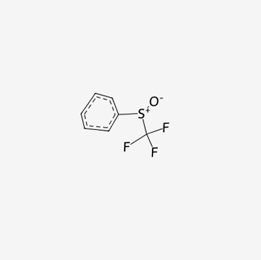 [O-][S+](c1ccccc1)C(F)(F)F